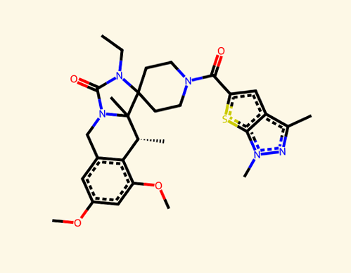 CCN1C(=O)N2Cc3cc(OC)cc(OC)c3[C@@H](C)C2(C)C12CCN(C(=O)c1cc3c(C)nn(C)c3s1)CC2